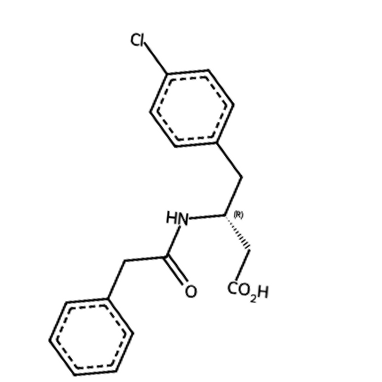 O=C(O)C[C@@H](Cc1ccc(Cl)cc1)NC(=O)Cc1ccccc1